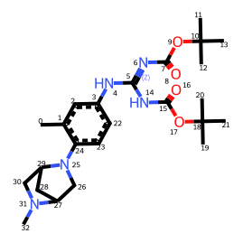 Cc1cc(N/C(=N/C(=O)OC(C)(C)C)NC(=O)OC(C)(C)C)ccc1N1CC2CC1CN2C